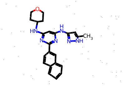 Cc1cc(Nc2cc(NC3CCOCC3)nc(-c3ccc4ccccc4c3)n2)n[nH]1